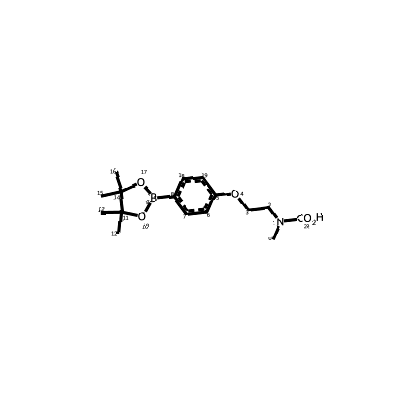 CN(CCOc1ccc(B2OC(C)(C)C(C)(C)O2)cc1)C(=O)O